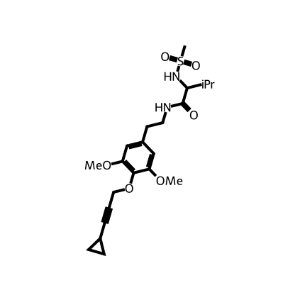 COc1cc(CCNC(=O)C(NS(C)(=O)=O)C(C)C)cc(OC)c1OCC#CC1CC1